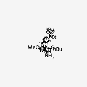 CCCCOc1nc(N)c2nc(OC)n(CC3CCN(N(CC)C(=O)OC(C)(C)C)CC3)c2n1